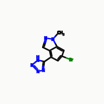 Cn1ncc2c(-c3nnn[nH]3)cc(Br)cc21